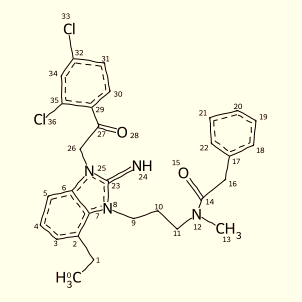 CCc1cccc2c1n(CCCN(C)C(=O)Cc1ccccc1)c(=N)n2CC(=O)c1ccc(Cl)cc1Cl